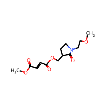 COCCN1CCC(COC(=O)/C=C/C(=O)OC)C1=O